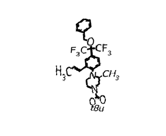 CC=Cc1cc(C(OCc2ccccc2)(C(F)(F)F)C(F)(F)F)ccc1N1CCN(C(=O)OC(C)(C)C)C[C@@H]1C